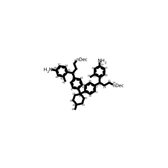 CCCCCCCCCCCCC(c1ccc(C2(c3ccc(C(CCCCCCCCCCCC)c4ccc(N)cc4C)cc3)CCC(C)CC2)cc1)c1ccc(N)cc1C